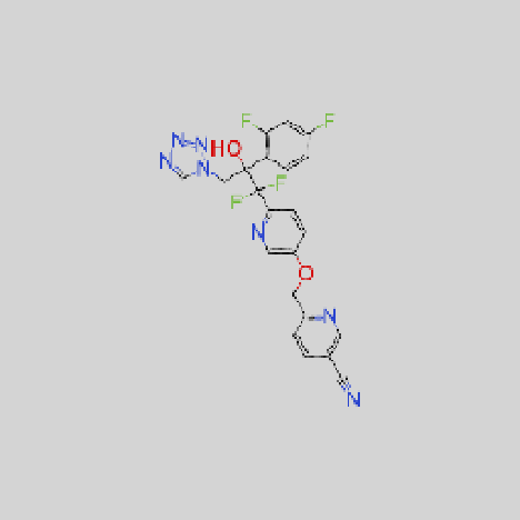 N#Cc1ccc(COc2ccc(C(F)(F)C(O)(Cn3cnnn3)c3ccc(F)cc3F)nc2)nc1